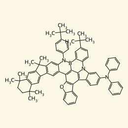 CC(C)(C)c1ccc(N2B3c4cc(C(C)(C)C)ccc4-n4c5cc(N(c6ccccc6)c6ccccc6)ccc5c5c6c(oc7ccccc76)c(c3c54)-c3cc4c(cc32)C(C)(C)c2cc3c(cc2-4)C(C)(C)CCC3(C)C)cc1